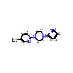 CCc1ccc(N2CCN(c3ccccn3)CC2)nc1